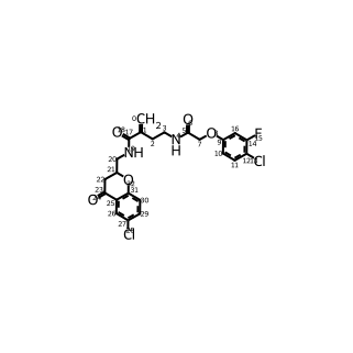 C=C(CCNC(=O)COc1ccc(Cl)c(F)c1)C(=O)NCC1CC(=O)c2cc(Cl)ccc2O1